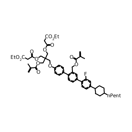 C=C(C)C(=O)OCc1cc(-c2ccc(C3CCC(CCCCC)CC3)cc2F)ccc1-c1ccc(OCC(COC(=O)CC(=O)OCC)(COC(=O)CC(=O)OCC)COC(=O)C(=C)C)cc1